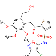 COc1cc(CCO)c(CC(=O)c2sccc2S(=O)(=O)Nc2onc(C)c2Cl)c(OC)c1OC